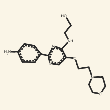 Nc1ccc(-c2ncc(OCCN3CCOCC3)c(NCCO)n2)cc1